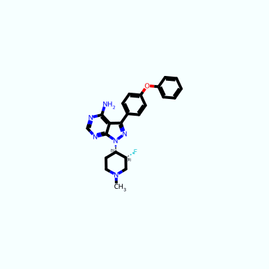 CN1CC[C@H](n2nc(-c3ccc(Oc4ccccc4)cc3)c3c(N)ncnc32)[C@H](F)C1